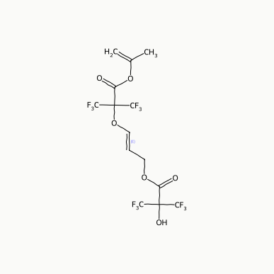 C=C(C)OC(=O)C(O/C=C/COC(=O)C(O)(C(F)(F)F)C(F)(F)F)(C(F)(F)F)C(F)(F)F